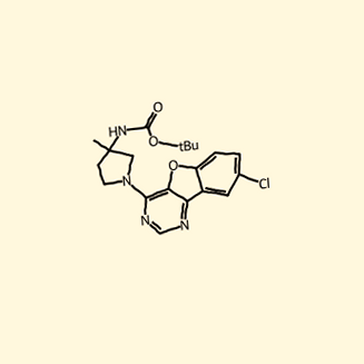 CC1(NC(=O)OC(C)(C)C)CCN(c2ncnc3c2oc2ccc(Cl)cc23)C1